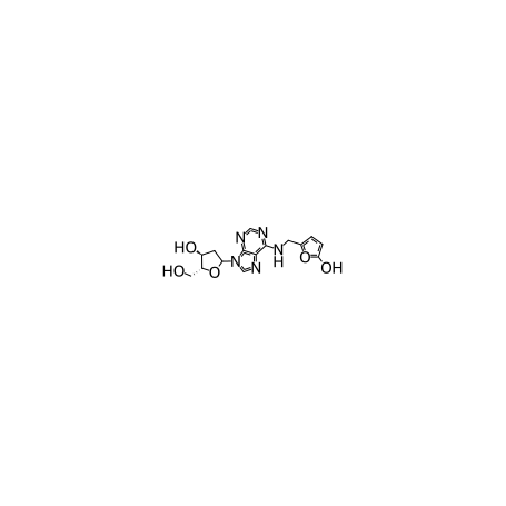 OC[C@H]1OC(n2cnc3c(NCc4ccc(O)o4)ncnc32)C[C@@H]1O